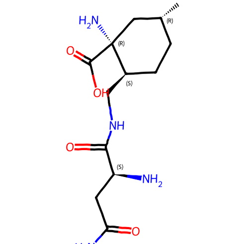 C[C@@H]1CC[C@@H](CNC(=O)[C@@H](N)CC(N)=O)[C@@](N)(C(=O)O)C1